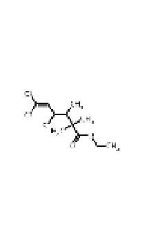 CCOC(=O)C(C)(C)C(C)C(Cl)C=C(Cl)Cl